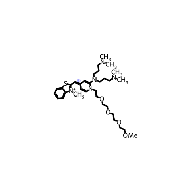 COCCOCCOCCOCCN1C=C/C(=C\c2sc3ccccc3[n+]2C)C=C1N(CCCN(C)C)CCCN(C)C